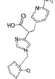 Nc1ccc(CC(C(=O)O)c2cn(Cc3ccccc3Cl)cn2)cn1